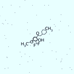 CCOc1ccc(C(=O)CC2CCC(C)CC2)c(O)c1C(F)F